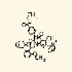 CCOC(=O)c1ccc(-n2c(=O)c3c(C)c(-c4ncco4)sc3n(CC(OC3CCOCC3)c3ccccc3OC)c2=O)cc1